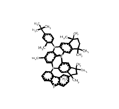 Cc1cc2c3c(c1)N(c1cccc4sc5ccccc5c14)c1cc4c(cc1B3c1cc3c(cc1N2c1ccc(C(C)(C)C)cc1C)C(C)(C)CCC3(C)C)C(C)(C)CC4(C)C